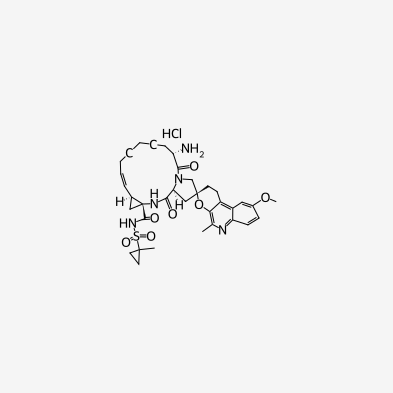 COc1ccc2nc(C)c3c(c2c1)CC[C@]1(C[C@H]2C(=O)N[C@]4(C(=O)NS(=O)(=O)C5(C)CC5)C[C@H]4C=CCCCCC[C@H](N)C(=O)N2C1)O3.Cl